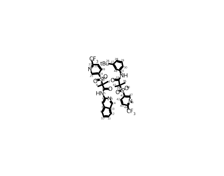 CC(C)(C(=O)Nc1cc2ccccc2cn1)S(=O)(=O)c1ccc(C(F)(F)F)nc1.CC(C)(C)c1cccc(NC(=O)C(C)(C)S(=O)(=O)c2ccc(C(F)(F)F)nc2)c1